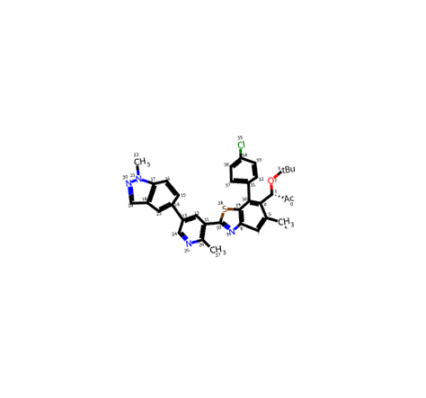 CC(=O)[C@@H](OC(C)(C)C)c1c(C)cc2nc(-c3cc(-c4ccc5c(cnn5C)c4)cnc3C)sc2c1-c1ccc(Cl)cc1